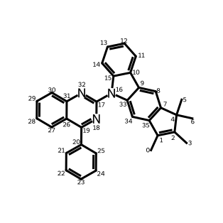 CC1=C(C)C(C)(C)c2cc3c4ccccc4n(-c4nc(-c5ccccc5)c5ccccc5n4)c3cc21